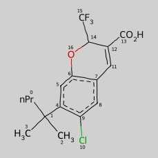 CCCC(C)(C)c1cc2c(cc1Cl)C=C(C(=O)O)C(C(F)(F)F)O2